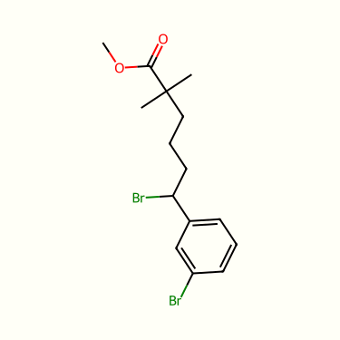 COC(=O)C(C)(C)CCCC(Br)c1cccc(Br)c1